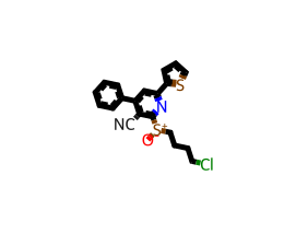 N#Cc1c(-c2ccccc2)cc(-c2cccs2)nc1[S+]([O-])CCCCCl